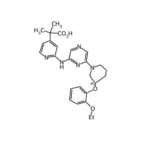 CCOc1ccccc1O[C@@H]1CCCN(c2cncc(Nc3cc(C(C)(C)C(=O)O)ccn3)n2)C1